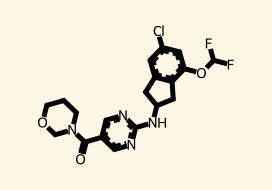 O=C(c1cnc(NC2Cc3cc(Cl)cc(OC(F)F)c3C2)nc1)N1CCCOC1